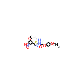 COc1ccc(OC(F)C(=O)Nc2ncc(-c3cc(OC)cc([N+](=O)[O-])c3)s2)cc1